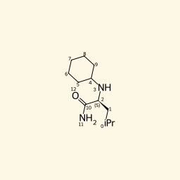 CC(C)C[C@H](NC1CCCCC1)C(N)=O